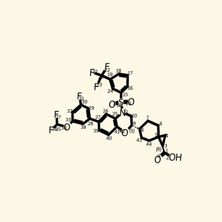 O=C(O)[C@@H]1CC12CCC([C@H]1CN(S(=O)(=O)c3cccc(C(F)(F)F)c3)c3cc(-c4cc(F)cc(OC(F)F)c4)ccc3O1)CC2